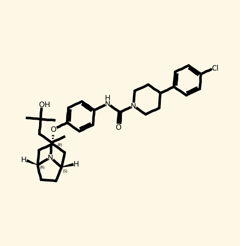 CC(CC(C)(C)O)N1[C@@H]2CC[C@H]1C[C@@H](Oc1ccc(NC(=O)N3CCC(c4ccc(Cl)cc4)CC3)cc1)C2